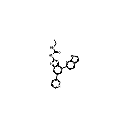 CCNC(=O)Nc1nc2cc(-c3cccnc3)cc(-c3ccc4cc[nH]c4n3)c2s1